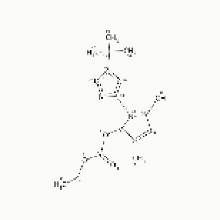 CCOC(=O)OC1C(C)=CC(O)N1c1cc(C(C)(C)C)on1